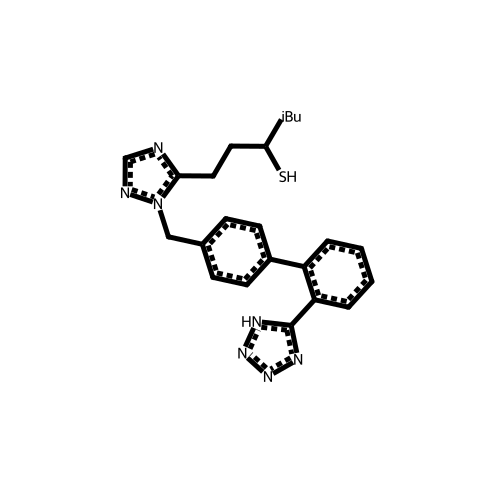 CCC(C)C(S)CCc1ncnn1Cc1ccc(-c2ccccc2-c2nnn[nH]2)cc1